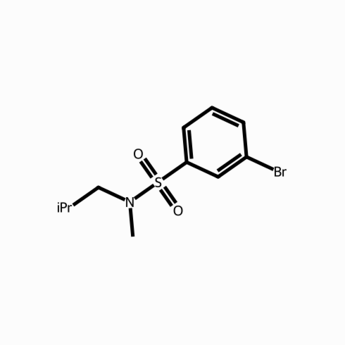 CC(C)CN(C)S(=O)(=O)c1cccc(Br)c1